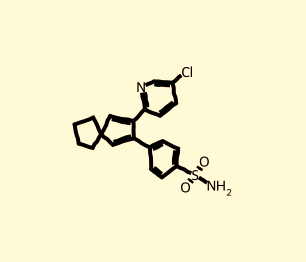 NS(=O)(=O)c1ccc(C2=CC3(C=C2c2ccc(Cl)cn2)CCCC3)cc1